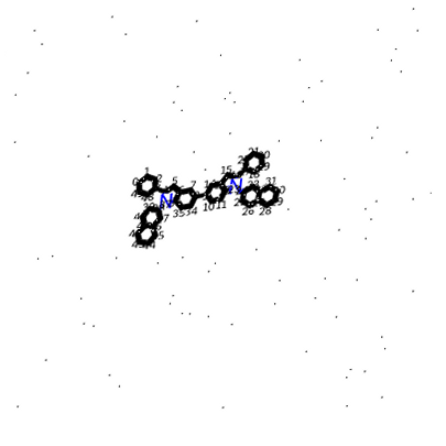 c1ccc(-c2cc3cc(-c4ccc5c(c4)cc(-c4ccccc4)n5-c4ccc5ccccc5c4)ccc3n2-c2ccc3ccccc3c2)cc1